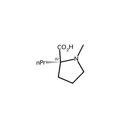 CCC[C@@]1(C(=O)O)CCCN1C